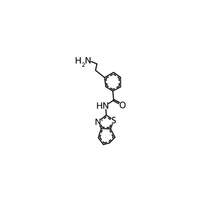 NCCc1cccc(C(=O)Nc2nc3ccccc3s2)c1